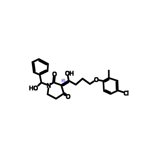 Cc1cc(Cl)ccc1OCCC/C(O)=C1\C(=O)CCN(C(O)c2ccccc2)C1=O